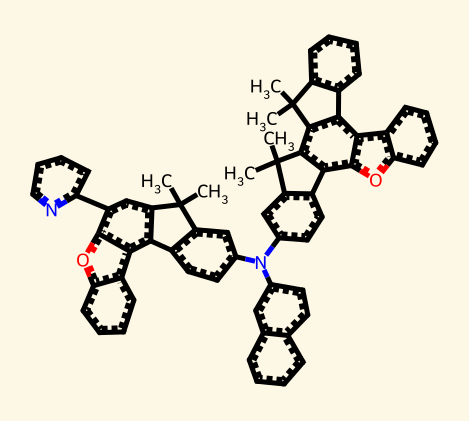 CC1(C)c2cc(N(c3ccc4c(c3)C(C)(C)c3c5c(c6c(oc7ccccc76)c3-4)-c3ccccc3C5(C)C)c3ccc4ccccc4c3)ccc2-c2c1cc(-c1ccccn1)c1oc3ccccc3c21